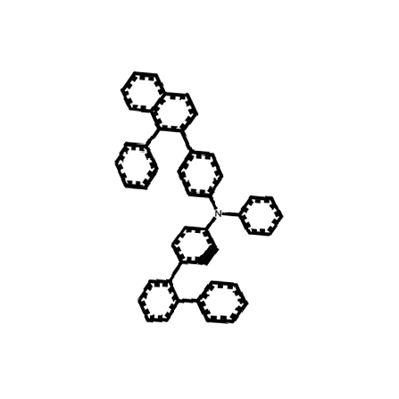 c1c(-c2ccccc2-c2ccccc2)ccc(N(c2ccccc2)c2ccc(-c3ccc4ccccc4c3-c3ccccc3)cc2)c#1